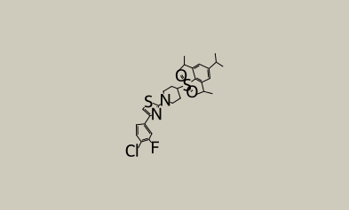 CC(C)c1cc(C(C)C)c(S(=O)(=O)C2CCN(c3nc(-c4ccc(Cl)c(F)c4)cs3)CC2)c(C(C)C)c1